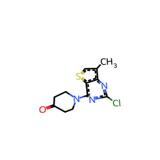 Cc1csc2c(N3CCC(=O)CC3)nc(Cl)nc12